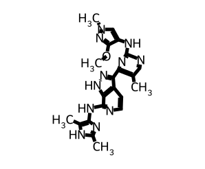 COc1nn(C)cc1Nc1ncc(C)c(-c2n[nH]c3c(Nc4nc(C)[nH]c4C)nccc23)n1